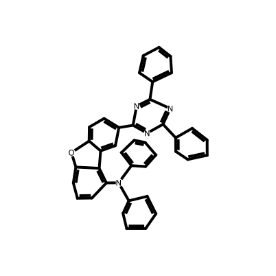 c1ccc(-c2nc(-c3ccccc3)nc(-c3ccc4oc5cccc(N(c6ccccc6)c6ccccc6)c5c4c3)n2)cc1